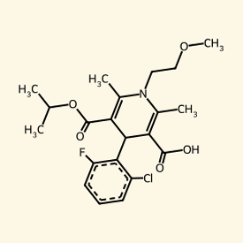 COCCN1C(C)=C(C(=O)O)C(c2c(F)cccc2Cl)C(C(=O)OC(C)C)=C1C